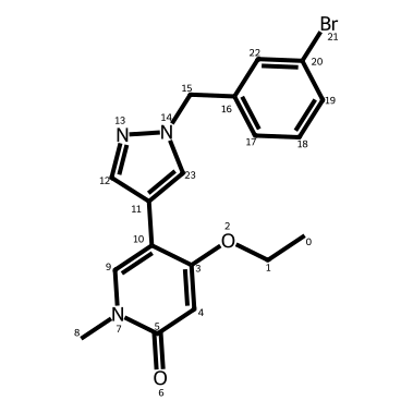 CCOc1cc(=O)n(C)cc1-c1cnn(Cc2cccc(Br)c2)c1